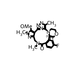 COc1c2c(nn1C)CN(C)C(=O)c1ccc(F)cc1[C@H]1COCCN1c1nc-2nnc1C